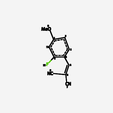 COc1ccc(C=C(C#N)C#N)c(F)c1